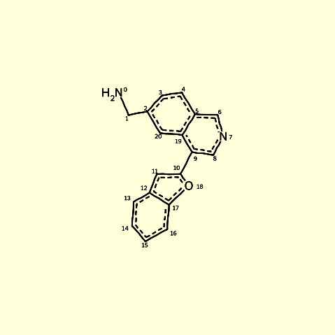 NCc1ccc2cncc(-c3cc4ccccc4o3)c2c1